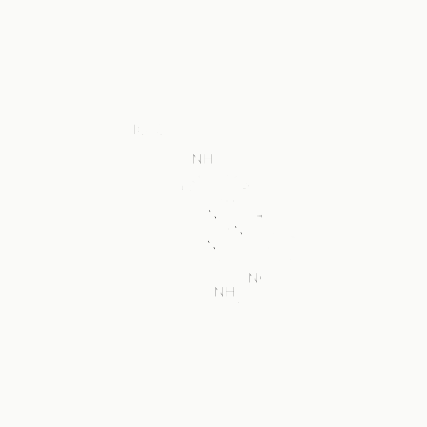 N#Cc1ccccc1Cn1c(N2CCC[C@@H](N)C2)nc2c(C(=O)NCCC(=O)O)csc2c1=O